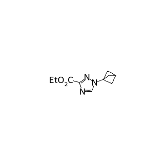 CCOC(=O)c1ncn(C23CC(C2)C3)n1